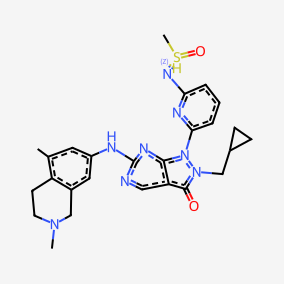 Cc1cc(Nc2ncc3c(=O)n(CC4CC4)n(-c4cccc(/N=[SH](/C)=O)n4)c3n2)cc2c1CCN(C)C2